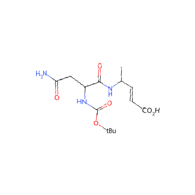 CC(/C=C/C(=O)O)NC(=O)C(CC(N)=O)NC(=O)OC(C)(C)C